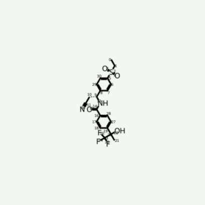 CCS(=O)(=O)c1ccc([C@@H](CC#N)NC(=O)c2ccc(C(C)(O)C(F)(F)F)cc2)cc1